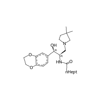 CCCCCCCC(=O)N[C@H](CN1CCC(C)(C)C1)[C@H](O)c1ccc2c(c1)OCCO2